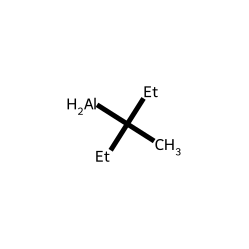 CC[C](C)([AlH2])CC